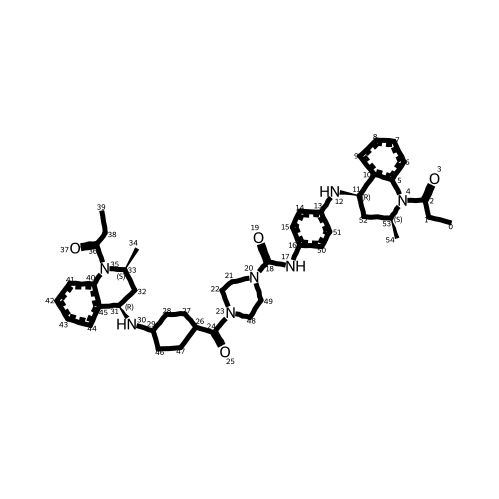 CCC(=O)N1c2ccccc2[C@H](Nc2ccc(NC(=O)N3CCN(C(=O)C4CCC(N[C@@H]5C[C@H](C)N(C(=O)CC)c6ccccc65)CC4)CC3)cc2)C[C@@H]1C